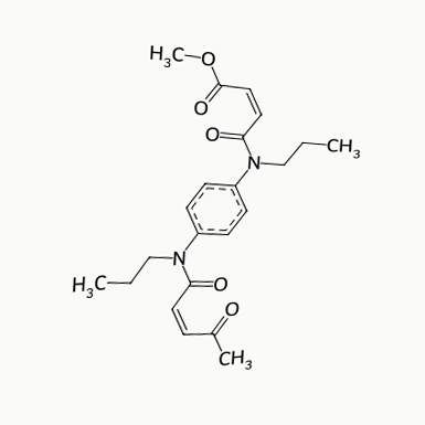 CCCN(C(=O)/C=C\C(C)=O)c1ccc(N(CCC)C(=O)/C=C\C(=O)OC)cc1